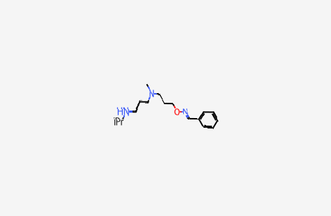 CC(C)NCCCN(C)CCCO/N=C/c1ccccc1